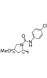 CO[C@@H]1C[C@H](I)N(C(=O)Nc2ccc(Cl)cc2)C1